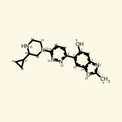 Cc1nc2cc(O)c(-c3ccc(N4CCNC(C5CC5)C4)nn3)cc2o1